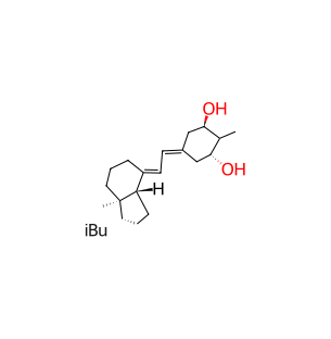 CC[C@H](C)[C@H]1CC[C@H]2/C(=C/C=C3C[C@@H](O)C(C)[C@H](O)C3)CCC[C@]12C